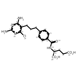 Nc1nc(N)c(CCCc2ccc(C(=O)N[C@@H](CCC(=O)O)C(=O)O)cc2)c(Cl)n1